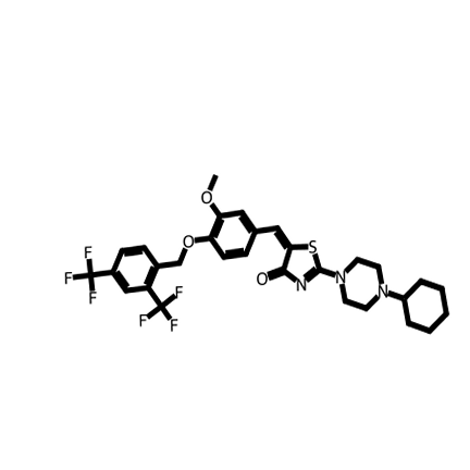 COc1cc(C=C2SC(N3CCN(C4CCCCC4)CC3)=NC2=O)ccc1OCc1ccc(C(F)(F)F)cc1C(F)(F)F